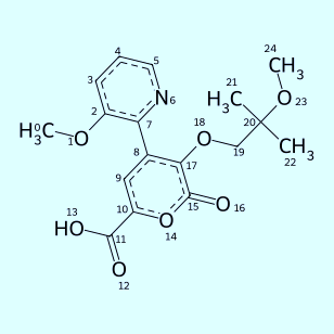 COc1cccnc1-c1cc(C(=O)O)oc(=O)c1OCC(C)(C)OC